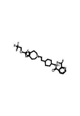 O=C(NC1CCC(CCN2CCc3nc(OCC(F)(F)F)sc3CC2)CC1)c1cccnc1C(F)F